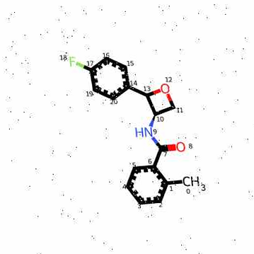 Cc1ccccc1C(=O)N[C@@H]1COC1c1ccc(F)cc1